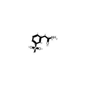 CS(=O)(=O)c1cccc([CH]C(N)=O)c1